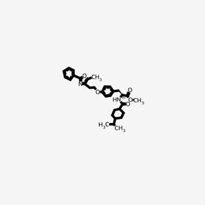 COC(=O)[C@H](Cc1ccc(OCCc2nc(-c3ccccc3)oc2C)cc1)NC(=O)C1CCC(C(C)C)CC1